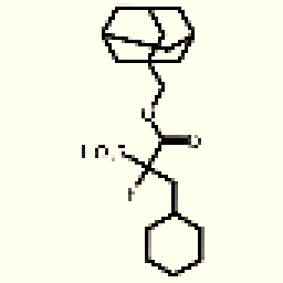 O=C(OCC12CC3CC(CC(C3)C1)C2)C(F)(CC1CCCCC1)S(=O)(=O)O